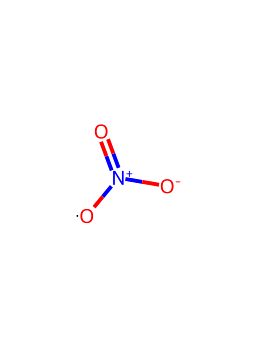 [O][N+](=O)[O-]